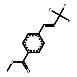 COC(=O)c1ccc(C=CC(F)(F)F)cc1